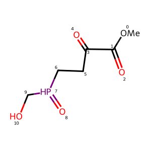 COC(=O)C(=O)CC[PH](=O)CO